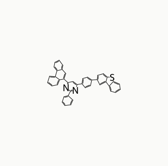 c1ccc(-c2nc(-c3ccc(-c4ccc5sc6ccccc6c5c4)cc3)cc(-c3cc4ccccc4c4ccccc34)n2)cc1